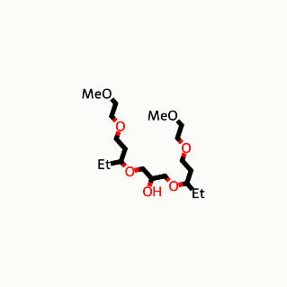 CCC(CCOCCOC)OCC(O)COC(CC)CCOCCOC